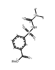 COC(=O)c1cccc(S(=O)(=O)NC(=O)N(C)C)c1